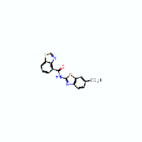 O=C(O)c1ccc2nc(NC(=O)c3cccc4scnc34)sc2c1